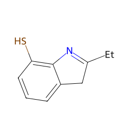 CCC1=Nc2c(S)cccc2C1